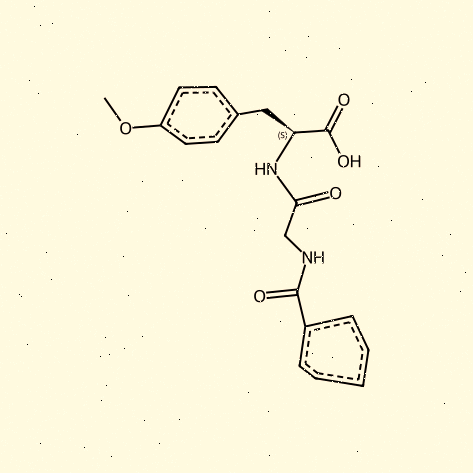 COc1ccc(C[C@H](NC(=O)CNC(=O)c2ccccc2)C(=O)O)cc1